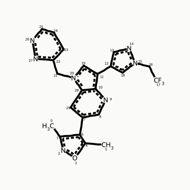 Cc1noc(C)c1-c1cnc2c(-c3cnn(CC(F)(F)F)c3)cn(Cc3cccnn3)c2c1